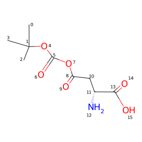 CC(C)(C)OC(=O)OC(=O)C[C@@H](N)C(=O)O